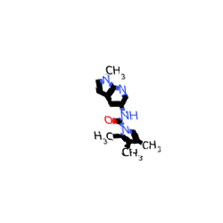 Cc1cn(C(=O)Nc2cnc3c(ccn3C)c2)c(C)c1C